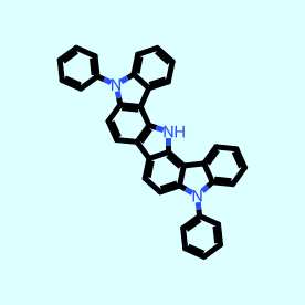 c1ccc(-n2c3ccccc3c3c4[nH]c5c(ccc6c5c5ccccc5n6-c5ccccc5)c4ccc32)cc1